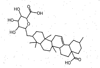 CC1CCC2(C(=O)O)CCC3C(=CCC4C3(C)CCC3C(C)(C)C(CC5OC(C(=O)O)C(O)C(O)C5O)CCC34C)C2C1